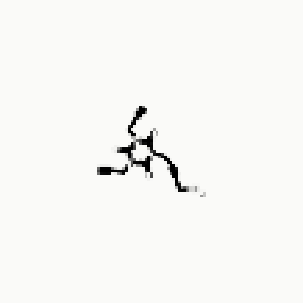 C#CCn1c(=O)n(CC#C)c(=O)n(CC#CCN)c1=O